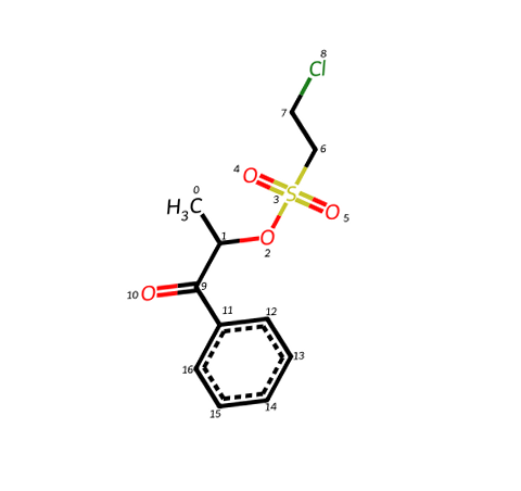 CC(OS(=O)(=O)CCCl)C(=O)c1ccccc1